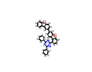 C1=CCC(c2nc(-c3ccccc3)nc(-c3cccc4oc5cc(-c6ccc7oc8ccccc8c7c6)ccc5c34)n2)C=C1